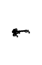 CCCCCCCCCC/C=C/C(CCCC)(C(=O)O)N1C(=O)CCC1=O